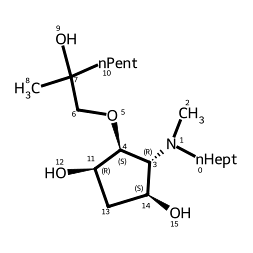 CCCCCCCN(C)[C@H]1[C@H](OCC(C)(O)CCCCC)[C@H](O)C[C@@H]1O